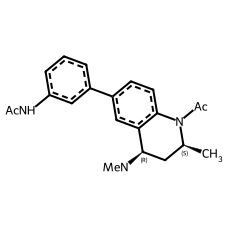 CN[C@@H]1C[C@H](C)N(C(C)=O)c2ccc(-c3cccc(NC(C)=O)c3)cc21